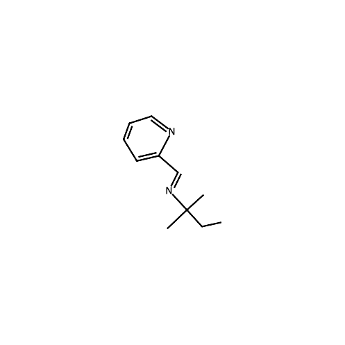 CCC(C)(C)/N=C/c1ccccn1